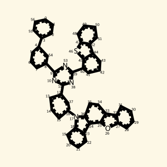 c1ccc(-c2cccc(-c3nc(-c4cccc(-n5c6ccccc6c6c7oc8ccccc8c7ccc65)c4)nc(-c4cccc5c4sc4ccccc45)n3)c2)cc1